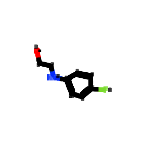 [O]CCNc1ccc(F)cc1